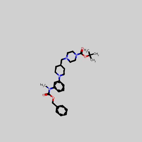 CN(C(=O)OCc1ccccc1)c1cccc(N2CCC(CN3CCN(C(=O)OC(C)(C)C)CC3)CC2)c1